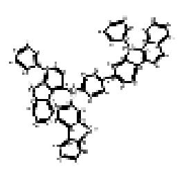 c1ccc(-c2ccc(N(c3ccc(-c4ccc5c6ccc7ccccc7c6n(-c6ccccc6)c5c4)cc3)c3ccc4c(c3)sc3ccccc34)c3c2oc2ccccc23)cc1